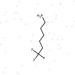 FC(F)(F)CCCCCP